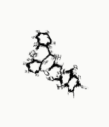 O=C(Cn1c(=O)[nH]c2ccccc2c1=O)NC1c2ccccc2Oc2ccccc21